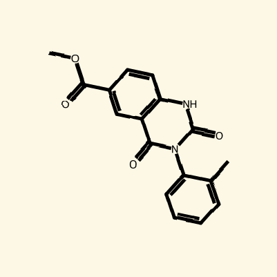 COC(=O)c1ccc2[nH]c(=O)n(-c3ccccc3C)c(=O)c2c1